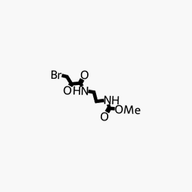 COC(=O)NCCNC(=O)C(=O)CBr